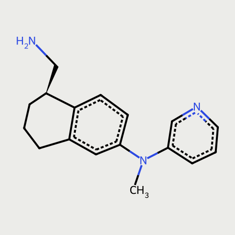 CN(c1cccnc1)c1ccc2c(c1)CCC[C@H]2CN